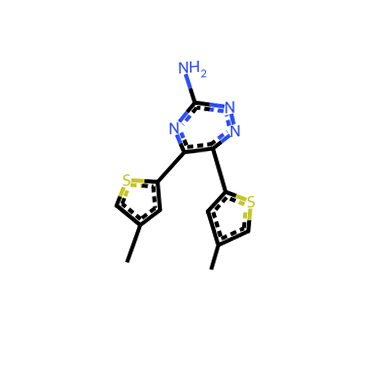 Cc1csc(-c2nnc(N)nc2-c2cc(C)cs2)c1